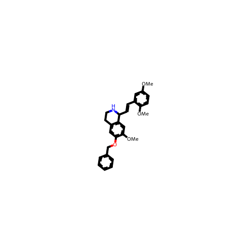 COc1ccc(OC)c(/C=C/C2NCCc3cc(OCc4ccccc4)c(OC)cc32)c1